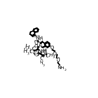 CN[C@@H](C)C(=O)N[C@H](C(=O)N1Cc2cc(OCCOCCOCCN)ccc2C[C@H]1C(=O)N[C@@H]1CCCc2ccccc21)C(C)(C)C